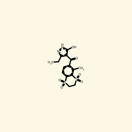 CCc1n[nH]c(O)c1C(=O)c1ccc2c(c1C)S(=O)(=O)CCS2(=O)=O